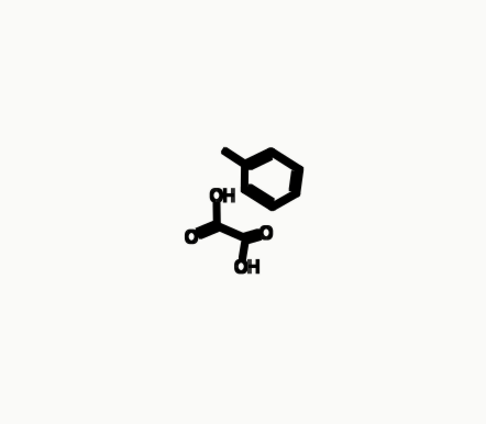 Cc1ccccc1.O=C(O)C(=O)O